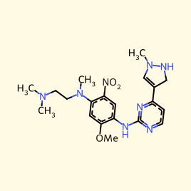 COc1cc(N(C)CCN(C)C)c([N+](=O)[O-])cc1Nc1nccc(C2=CN(C)NC2)n1